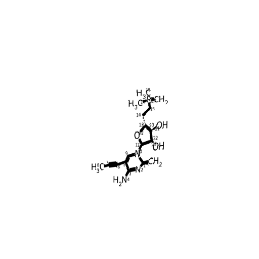 C=C1N=C(N)C(C#CC)=CN1C1O[C@H](CCP(=C)(C)C)[C@@H](O)[C@H]1O